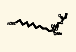 C=CC(=O)OCO[Si](CCCCCCCCCCCCCCCCCCCC)(OC)OC